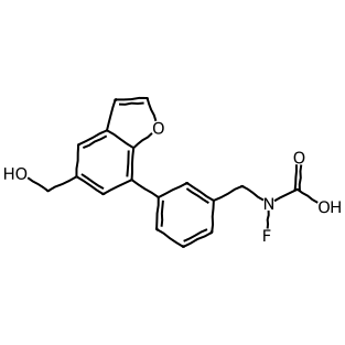 O=C(O)N(F)Cc1cccc(-c2cc(CO)cc3ccoc23)c1